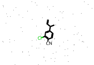 [CH2]C(C=C)c1ccc(C#N)c(Cl)c1